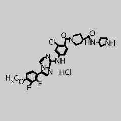 COc1ccc(-c2cnc3c(Nc4ccc(C(=O)N5CCC(C(=O)N[C@@H]6CCNC6)CC5)c(Cl)c4)nccn23)c(F)c1F.Cl